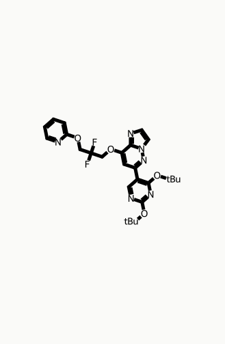 CC(C)(C)Oc1ncc(-c2cc(OCC(F)(F)COc3ccccn3)c3nccn3n2)c(OC(C)(C)C)n1